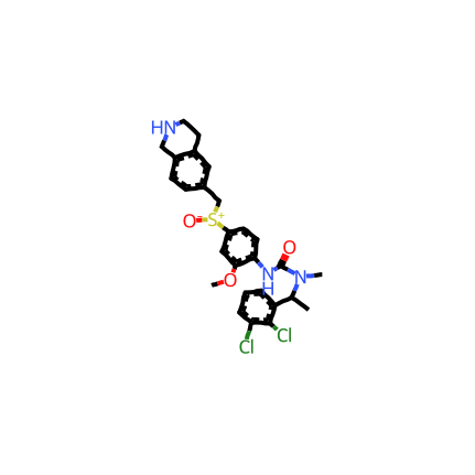 COc1cc([S+]([O-])Cc2ccc3c(c2)CCNC3)ccc1NC(=O)N(C)C(C)c1cccc(Cl)c1Cl